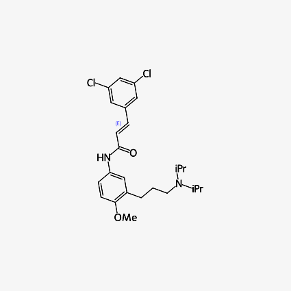 COc1ccc(NC(=O)/C=C/c2cc(Cl)cc(Cl)c2)cc1CCCN(C(C)C)C(C)C